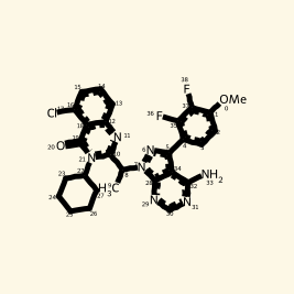 COc1ccc(-c2nn(C(C)c3nc4cccc(Cl)c4c(=O)n3C3CCCCC3)c3ncnc(N)c23)c(F)c1F